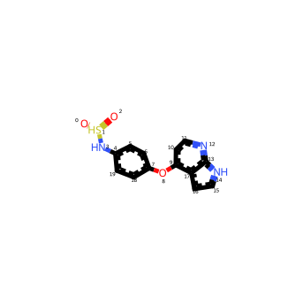 O=[SH](=O)Nc1ccc(Oc2ccnc3[nH]ccc23)cc1